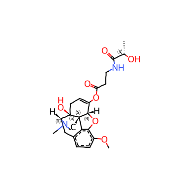 COc1ccc2c3c1O[C@H]1C(OC(=O)CCNC(=O)[C@H](C)O)=CC[C@@]4(O)[C@@H](C2)N(C)CC[C@]314